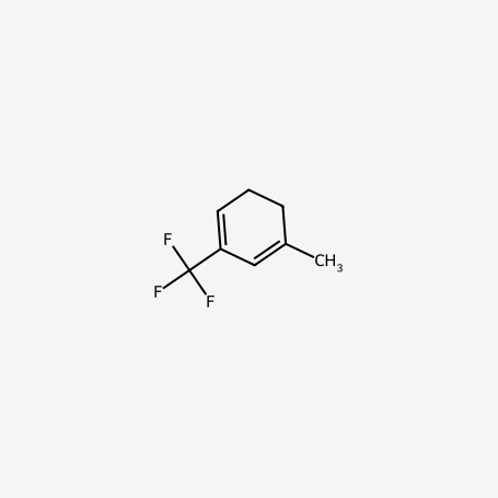 CC1=CC(C(F)(F)F)=CCC1